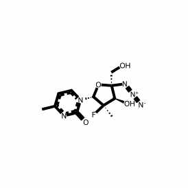 Cc1ccn([C@@H]2O[C@@](CO)(N=[N+]=[N-])[C@@H](O)[C@@]2(C)F)c(=O)n1